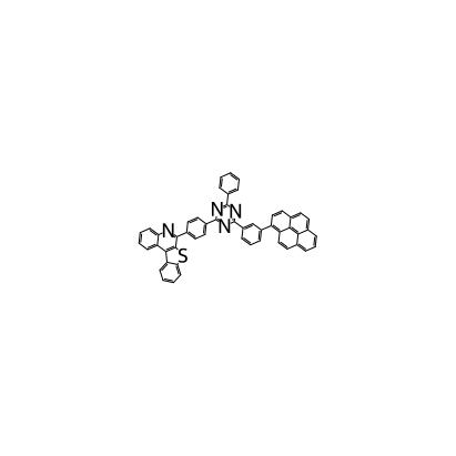 c1ccc(-c2nc(-c3ccc(-c4nc5ccccc5c5c4sc4ccccc45)cc3)nc(-c3cccc(-c4ccc5ccc6cccc7ccc4c5c67)c3)n2)cc1